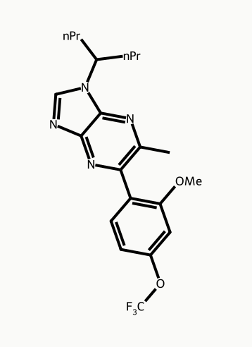 CCCC(CCC)n1cnc2nc(-c3ccc(OC(F)(F)F)cc3OC)c(C)nc21